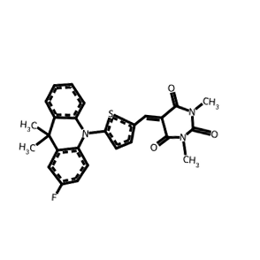 CN1C(=O)C(=Cc2ccc(N3c4ccccc4C(C)(C)c4cc(F)ccc43)s2)C(=O)N(C)C1=O